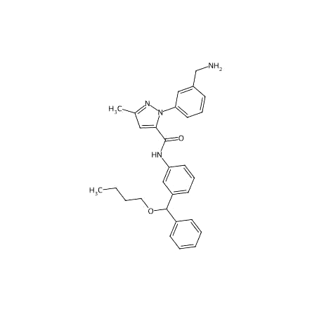 CCCCOC(c1ccccc1)c1cccc(NC(=O)c2cc(C)nn2-c2cccc(CN)c2)c1